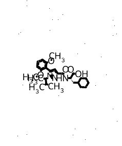 COc1cccc(OC)c1-c1cc(C(=O)N[C@@H](CC2CCCCC2)C(=O)O)nn1C(C)C(C)C